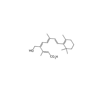 CC(C=CC1=C(C)CCCC1(C)C)=CC=C(CO)C(C)=CC(=O)O